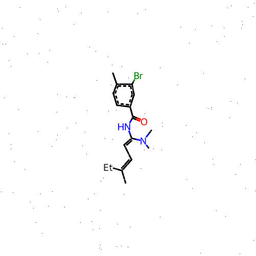 CC/C(C)=C\C=C(\NC(=O)c1ccc(C)c(Br)c1)N(C)C